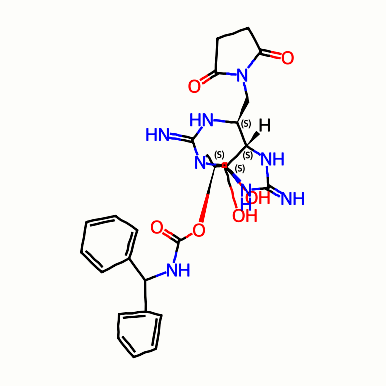 N=C1N[C@H]2[C@H](CN3C(=O)CCC3=O)NC(=N)N3C[C@H](OC(=O)NC(c4ccccc4)c4ccccc4)C(O)(O)[C@]23N1